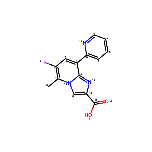 Cc1c(I)cc(-c2ccccn2)c2nc(C(=O)O)cn12